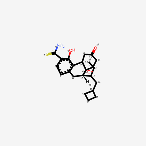 NC(=S)c1ccc2c(c1O)[C@]13CCC(CC4CCC4)[C@H](C2)[C@]1(O)CCC(=O)C3